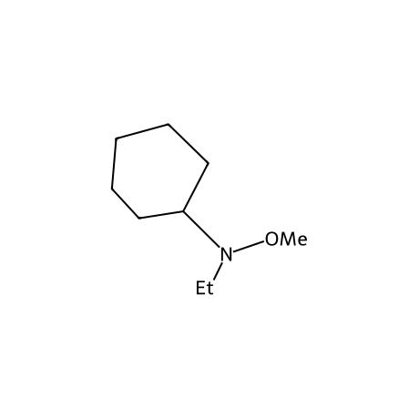 CCN(OC)C1CCCCC1